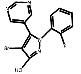 Oc1nn(-c2ccccc2F)c(-c2cncnc2)c1Br